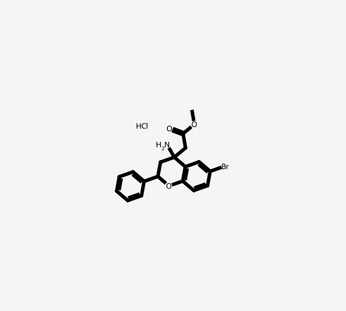 COC(=O)CC1(N)CC(c2ccccc2)Oc2ccc(Br)cc21.Cl